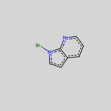 Brn1ccc2cccnc21